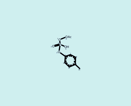 CC(=O)OOP(=O)(O)Oc1ccc(C)cc1